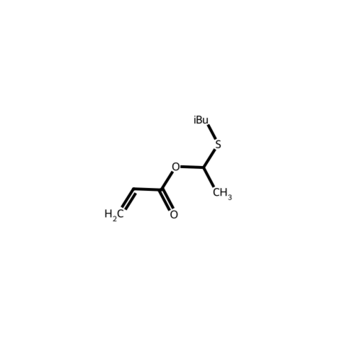 C=CC(=O)OC(C)SC(C)CC